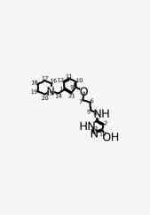 Oc1cc(NCCCOc2cccc(CN3CCCCC3)c2)[nH]n1